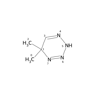 CC1(C)C=NNN=N1